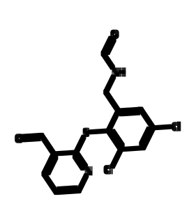 O=CNCc1cc(Cl)cc(Cl)c1Sc1ncccc1C=O